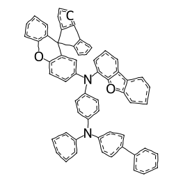 c1ccc(-c2ccc(N(c3ccccc3)c3ccc(N(c4ccc5c(c4)C4(c6ccccc6O5)c5ccccc5-c5ccccc54)c4cccc5c4oc4ccccc45)cc3)cc2)cc1